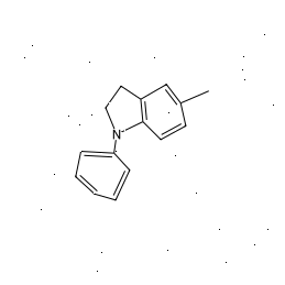 Cc1ccc2c(c1)CCN2c1ccccc1